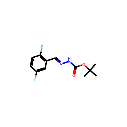 CC(C)(C)OC(=O)NN=Cc1cc(F)ccc1F